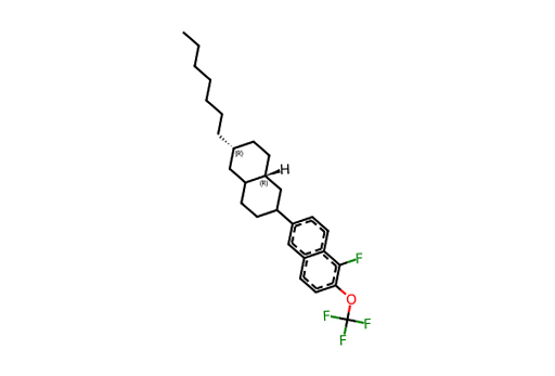 CCCCCCC[C@@H]1CC[C@@H]2CC(c3ccc4c(F)c(OC(F)(F)F)ccc4c3)CCC2C1